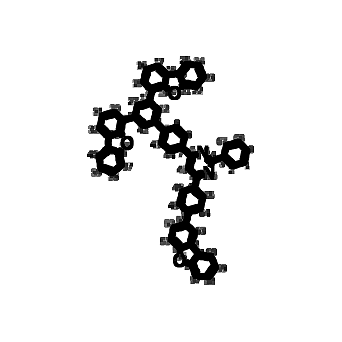 c1ccc(-c2nc(-c3ccc(-c4cc(-c5cccc6c5oc5ccccc56)cc(-c5cccc6c5oc5ccccc56)c4)cc3)cc(-c3ccc(-c4ccc5oc6ccccc6c5c4)cc3)n2)cc1